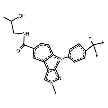 CC(O)CNC(=O)c1ccc2c(c1)c1cn(C)nc1n2-c1ccc(C(F)(F)F)cc1